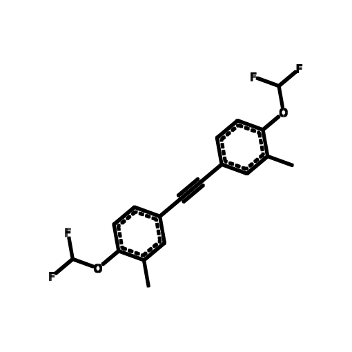 Cc1cc(C#Cc2ccc(OC(F)F)c(C)c2)ccc1OC(F)F